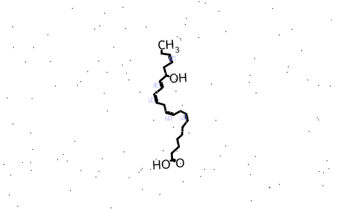 CC/C=C\CC(O)/C=C/C=C\C/C=C\C/C=C\CCCCCC(=O)O